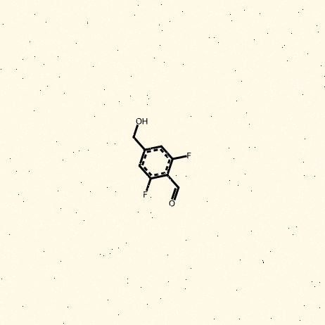 O=Cc1c(F)cc(CO)cc1F